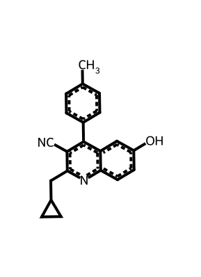 Cc1ccc(-c2c(C#N)c(CC3CC3)nc3ccc(O)cc23)cc1